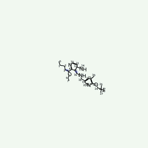 CCC/C=C(/OCC)C1=NC=CC(NC)/C1=C\NCc1cnc(OCC(C)(C)F)c(C)c1